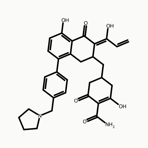 C=C/C(O)=C1/C(=O)c2c(O)ccc(-c3ccc(CN4CCCC4)cc3)c2CC1CC1CC(=O)C(C(N)=O)=C(O)C1